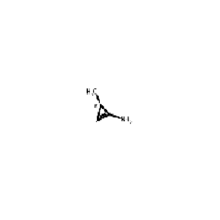 C[C@@H]1C=C1N